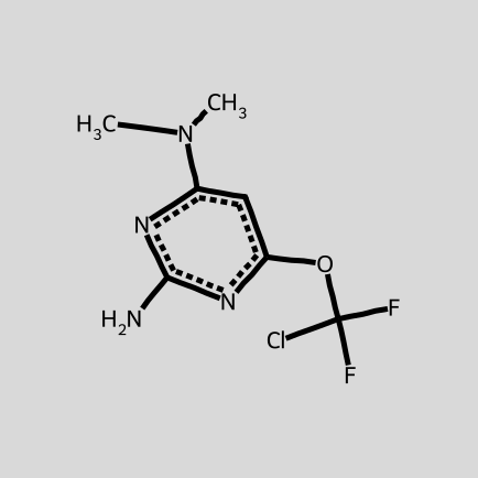 CN(C)c1cc(OC(F)(F)Cl)nc(N)n1